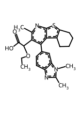 CCOC(C(=O)O)c1c(C)nc2sc3c(c2c1-c1ccc2nc(C)n(C)c2c1)CCCC3